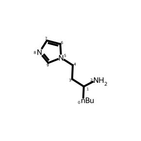 CCCCC(N)CCn1ccnc1